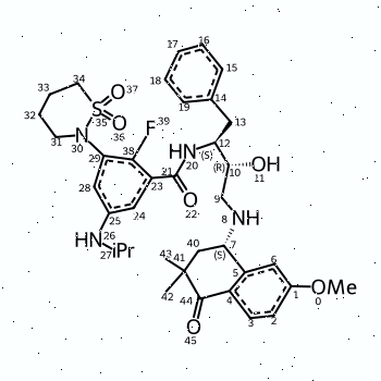 COc1ccc2c(c1)[C@@H](NC[C@@H](O)[C@H](Cc1ccccc1)NC(=O)c1cc(NC(C)C)cc(N3CCCCS3(=O)=O)c1F)CC(C)(C)C2=O